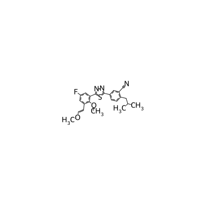 COC=Cc1cc(F)cc(-c2nnc(-c3ccc(CC(C)C)c(C#N)c3)s2)c1OC